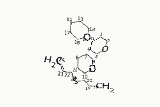 C1CCOCC1.C1CCOCC1.C1CCOCC1.C=CCSCC=C